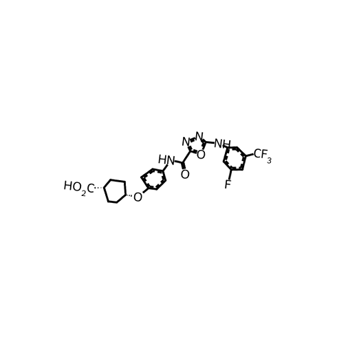 O=C(Nc1ccc(O[C@H]2CC[C@@H](C(=O)O)CC2)cc1)c1nnc(Nc2cc(F)cc(C(F)(F)F)c2)o1